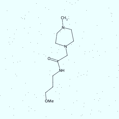 COCCCNC(=O)CN1CCN(C)CC1